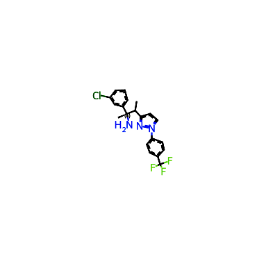 CC(c1ccn(-c2ccc(C(F)(F)F)cc2)n1)[C@](C)(N)c1cccc(Cl)c1